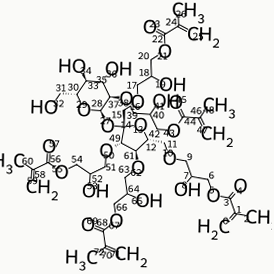 C=C(C)C(=O)OCC(O)COC[C@H]1O[C@@](COCC(O)COC(=O)C(=C)C)(O[C@H]2O[C@H](CO)[C@@H](O)[C@H](O)[C@H]2OCC(O)COC(=O)C(=C)C)[C@@H](OCC(O)COC(=O)C(=C)C)[C@@H]1OCC(O)COC(=O)C(=C)C